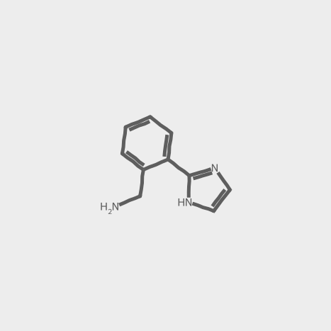 NCc1ccccc1-c1ncc[nH]1